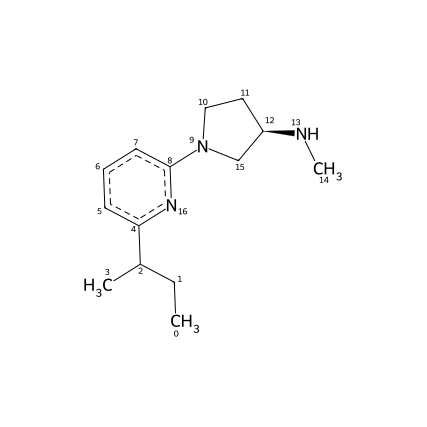 CCC(C)c1cccc(N2CC[C@@H](NC)C2)n1